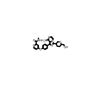 CNC(=O)c1cc(Oc2ccc(-c3nc(C4CCC(CO)OC4)n4ccnc(N)c34)cc2)ccn1